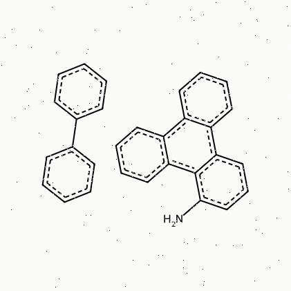 Nc1cccc2c3ccccc3c3ccccc3c12.c1ccc(-c2ccccc2)cc1